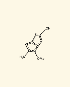 COn1c(N)cc2sc(O)cc21